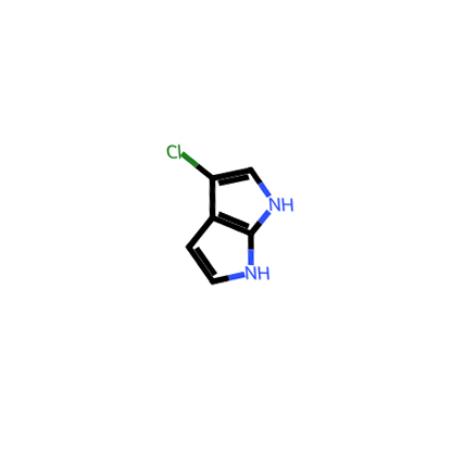 Clc1c[nH]c2[nH]ccc12